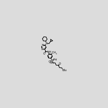 Cc1cc(S(=O)(=P)NCCC(=O)CCC(C)(C)C)ccc1NC(=O)c1cc(N(CC2CC2)C2CCCCC2)ncn1